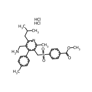 COC(=O)c1ccc(S(=O)(=O)Cc2c(C)nc(CC(C)C)c(CN)c2-c2ccc(C)cc2)cc1.Cl.Cl